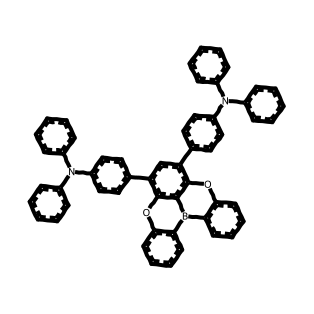 c1ccc(N(c2ccccc2)c2ccc(-c3cc(-c4ccc(N(c5ccccc5)c5ccccc5)cc4)c4c5c3Oc3ccccc3B5c3ccccc3O4)cc2)cc1